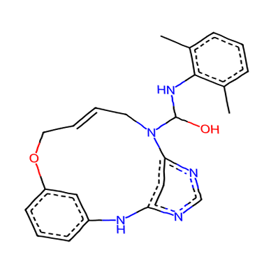 Cc1cccc(C)c1NC(O)N1C/C=C/COc2cccc(c2)Nc2cc1ncn2